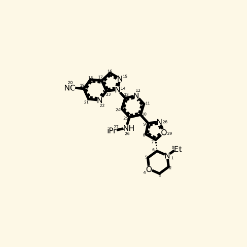 CCN1CCOC[C@@H]1c1cc(-c2cnc(-n3ncc4cc(C#N)cnc43)cc2NC(C)C)no1